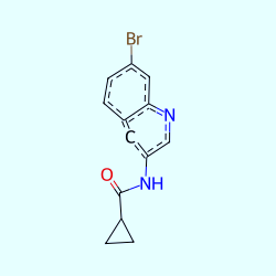 O=C(Nc1cnc2cc(Br)ccc2c1)C1CC1